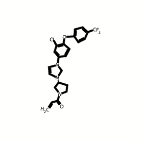 C=CC(=O)N1CC[C@@H](N2C=CN(c3ccc(Oc4ccc(C(F)(F)F)cc4)c(Cl)c3)C2)C1